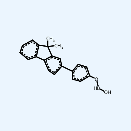 CC1(C)c2ccccc2-c2ccc(-c3ccc(OBO)cc3)cc21